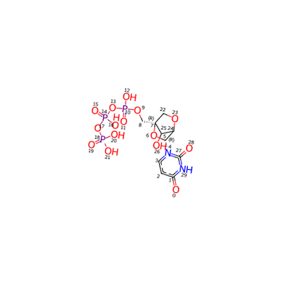 O=c1ccn([C@@H]2O[C@@]3(COP(=O)(O)OP(=O)(O)OP(=O)(O)O)COC2C3O)c(=O)[nH]1